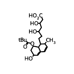 CC1C=CC2=CC(O)CC(OC(=O)C(C)(C)C)C2C1CCC(O)CC(O)CC(=O)O